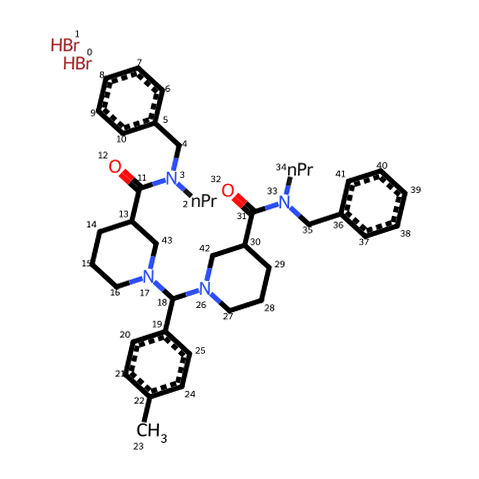 Br.Br.CCCN(Cc1ccccc1)C(=O)C1CCCN(C(c2ccc(C)cc2)N2CCCC(C(=O)N(CCC)Cc3ccccc3)C2)C1